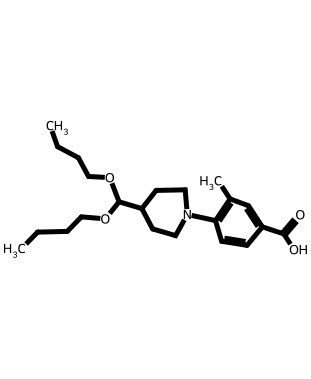 CCCCOC(OCCCC)C1CCN(c2ccc(C(=O)O)cc2C)CC1